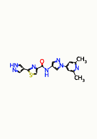 Cc1cc(-n2cc(NC(=O)c3csc(-c4cn[nH]c4)n3)cn2)cc(C)n1